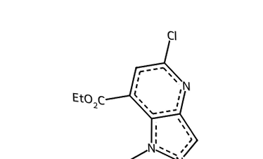 CCOC(=O)c1cc(Cl)nc2cnn(C)c12